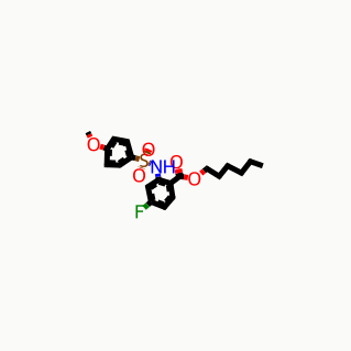 CCCCCCOC(=O)c1ccc(F)cc1NS(=O)(=O)c1ccc(OC)cc1